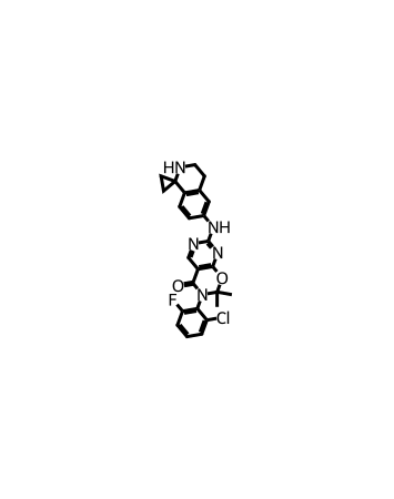 CC1(C)Oc2nc(Nc3ccc4c(c3)CCNC43CC3)ncc2C(=O)N1c1c(F)cccc1Cl